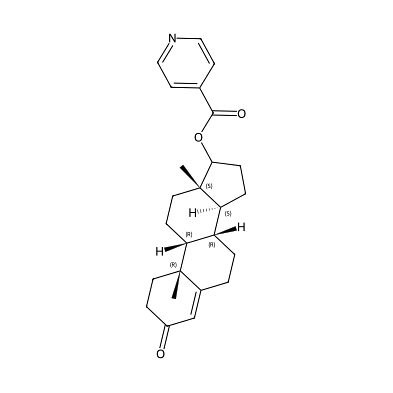 C[C@]12CCC(=O)C=C1CC[C@@H]1[C@H]2CC[C@]2(C)C(OC(=O)c3ccncc3)CC[C@@H]12